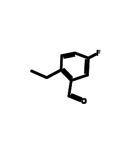 CCc1ccc(F)cc1C=O